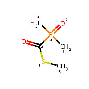 CSC(=O)P(C)(C)=O